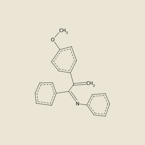 C=C(C(=Nc1ccccc1)c1ccccc1)c1ccc(OC)cc1